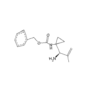 C=C(C)[C@@H](N)C1(NC(=O)OCc2ccccc2)CC1